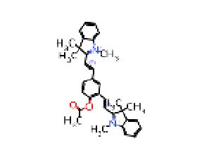 CC(=O)Oc1ccc(/C=C/C2=[N+](C)c3ccccc3C2(C)C)cc1/C=C/C1=[N+](C)c2ccccc2C1(C)C